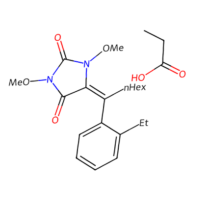 CCC(=O)O.CCCCCCC(=C1C(=O)N(OC)C(=O)N1OC)c1ccccc1CC